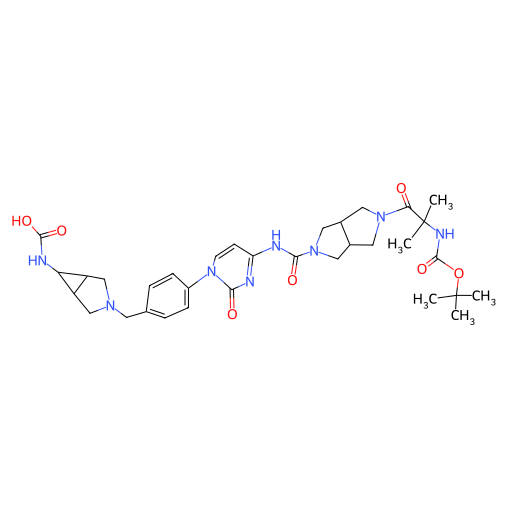 CC(C)(C)OC(=O)NC(C)(C)C(=O)N1CC2CN(C(=O)Nc3ccn(-c4ccc(CN5CC6C(C5)C6NC(=O)O)cc4)c(=O)n3)CC2C1